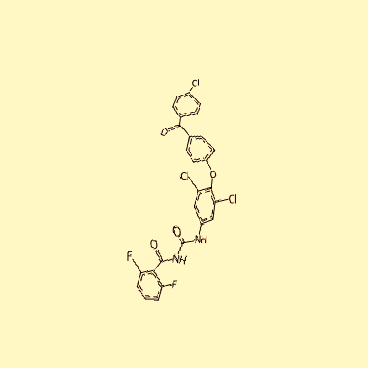 O=C(NC(=O)c1c(F)cccc1F)Nc1cc(Cl)c(Oc2ccc(C(=O)c3ccc(Cl)cc3)cc2)c(Cl)c1